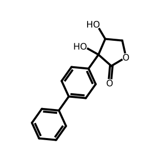 O=C1OCC(O)C1(O)c1ccc(-c2ccccc2)cc1